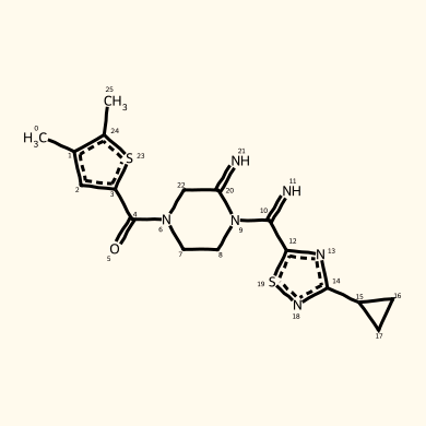 Cc1cc(C(=O)N2CCN(C(=N)c3nc(C4CC4)ns3)C(=N)C2)sc1C